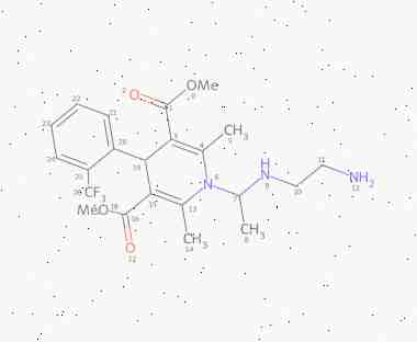 COC(=O)C1=C(C)N(C(C)NCCN)C(C)=C(C(=O)OC)C1c1ccccc1C(F)(F)F